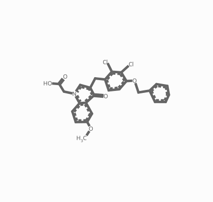 COc1ccc2c(c1)c(=O)c(Cc1ccc(OCc3ccccc3)c(Cl)c1Cl)cn2CC(=O)O